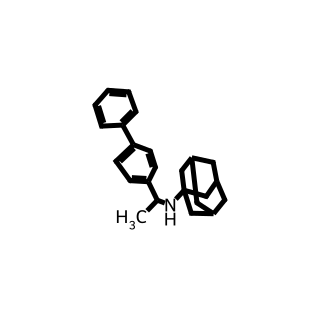 CC(NC12CC3CC(CC(C3)C1)C2)c1ccc(-c2ccccc2)cc1